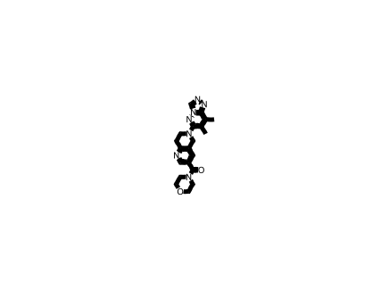 Cc1c(N2CCc3ncc(C(=O)N4CCOCC4)cc3C2)nn2cnnc2c1C